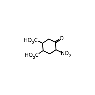 O=C(O)C1CC(=O)C([N+](=O)[O-])CC1C(=O)O